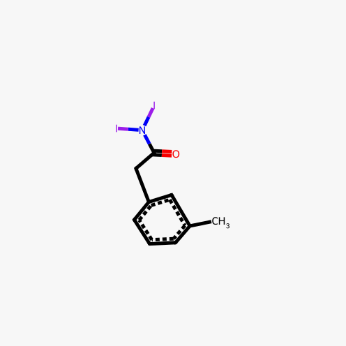 Cc1cccc(CC(=O)N(I)I)c1